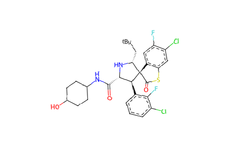 CC(C)(C)C[C@H]1N[C@@H](C(=O)NC2CCC(O)CC2)[C@H](c2cccc(Cl)c2F)[C@@]12C(=O)Sc1cc(Cl)c(F)cc12